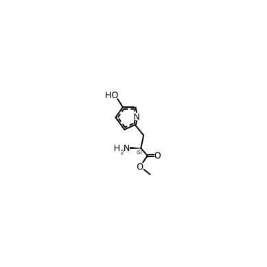 COC(=O)[C@@H](N)Cc1ccc(O)cn1